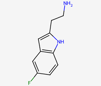 NCCc1cc2cc(F)ccc2[nH]1